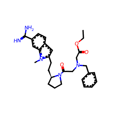 CCOC(=O)CN(CC(=O)N1CCC[C@H]1CCc1cc2ccc(C(=N)N)cc2n1C)Cc1ccccc1